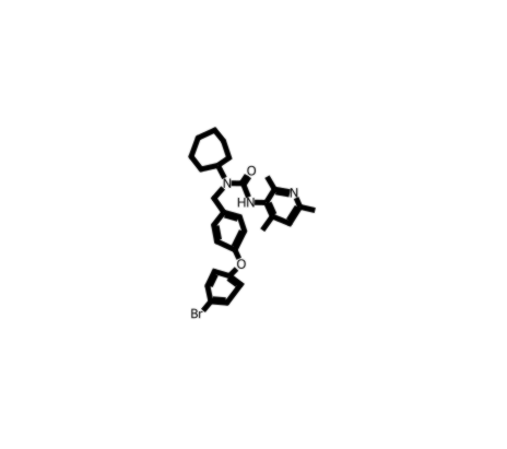 Cc1cc(C)c(NC(=O)N(Cc2ccc(Oc3ccc(Br)cc3)cc2)C2CCCCCC2)c(C)n1